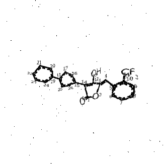 O=C1O/C(=C\c2ccccc2C(F)(F)F)C(O)=C1c1ccc(-c2ccccc2)cc1